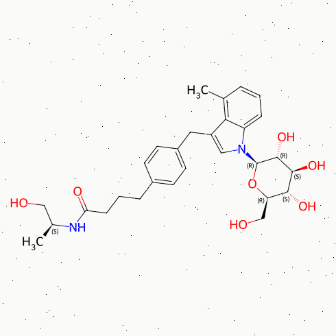 Cc1cccc2c1c(Cc1ccc(CCCC(=O)N[C@@H](C)CO)cc1)cn2[C@@H]1O[C@H](CO)[C@@H](O)[C@H](O)[C@H]1O